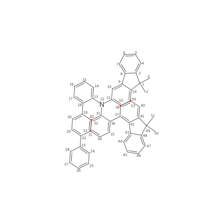 CC1(C)c2ccccc2-c2cc(N(c3ccccc3-c3ccc(-c4ccccc4)cc3)c3ccccc3-c3cccc4c3-c3ccccc3C4(C)C)ccc21